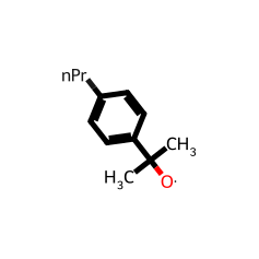 CCCc1ccc(C(C)(C)[O])cc1